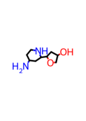 NC1CCNC(C2CC(O)CO2)C1